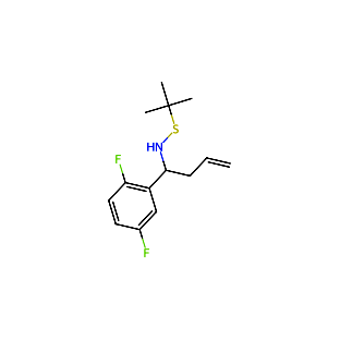 C=CCC(NSC(C)(C)C)c1cc(F)ccc1F